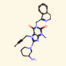 CC#CCn1c(N2CCCC(N)C2)nc2c1c(=O)n(CC1=NCCc3ccccc31)c(=O)n2C